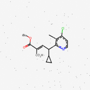 CCC(C)OC(=O)C(=CC(c1nccc(Cl)c1C)C1CC1)C(=O)O